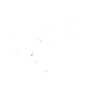 COC(=O)c1cc(C)c(S(=O)(=O)N2C[C@@H](C(=O)N3CCN(c4ccccc4)CC3)[C@H](c3ccccc3)C2)s1